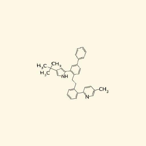 Cc1ccc(-c2ccccc2CCc2ccc(-c3ccccc3)cc2-c2cc(C(C)(C)C)c[nH]2)nc1